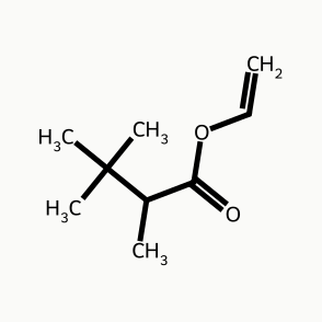 C=COC(=O)C(C)C(C)(C)C